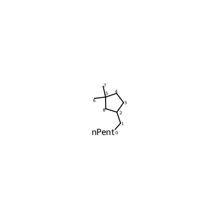 CCCCCCC1CCC(C)(C)C1